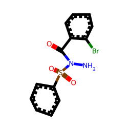 NN(C(=O)c1ccccc1Br)S(=O)(=O)c1ccccc1